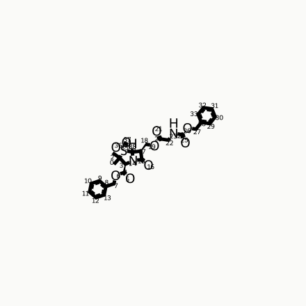 CC1(C)[C@H](C(=O)OCc2ccccc2)N2C(=O)[C@H](COC(=O)CNC(=O)OCc3ccccc3)[C@H]2S1(=O)=O